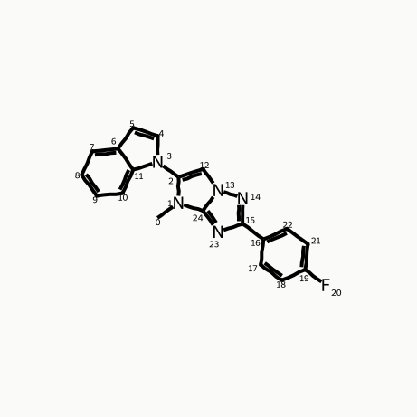 Cn1c(-n2ccc3ccccc32)cn2nc(-c3ccc(F)cc3)nc12